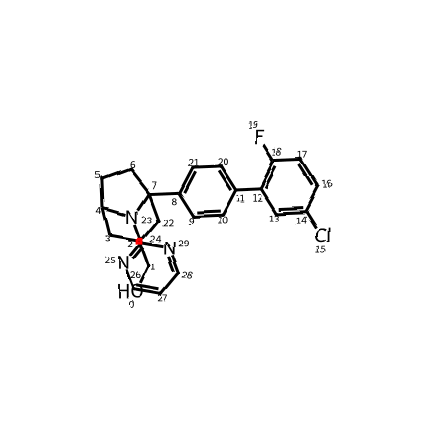 OCC1CC2CCC(c3ccc(-c4cc(Cl)ccc4F)cc3)(C1)N2c1ncccn1